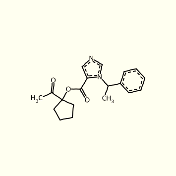 CC(=O)C1(OC(=O)c2cncn2C(C)c2ccccc2)CCCC1